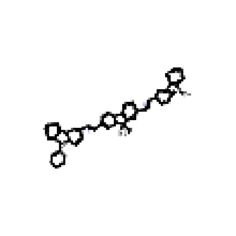 CCn1c2ccccc2c2cc(/C=C/c3ccc4c(c3)C(CC)(CC)C3C=C(/C=C/C5=CC6c7ccccc7N(C7=CCCCC7)C6C=C5)C=CC43)ccc21